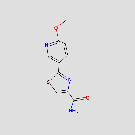 COc1ccc(-c2nc(C(N)=O)cs2)cn1